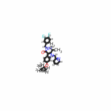 [2H]C([2H])([2H])C([2H])(Oc1ccc2c(C(=O)NCc3ccc(F)c(F)c3)c(C(=C)C)n(Cc3ccccn3)c2c1)C([2H])([2H])[2H]